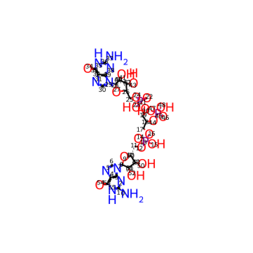 Nc1nc2c(ncn2C2O[C@H](COP(=O)(O)OCC(COP(=O)(O)OCC3OC(n4cnc5c(=O)[nH]c(N)nc54)[C@H](O)[C@@H]3O)OP(=O)(O)O)[C@@H](O)[C@H]2O)c(=O)[nH]1